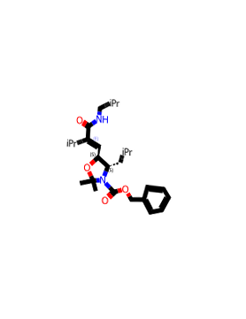 CC(C)CNC(=O)/C(=C/[C@@H]1OC(C)(C)N(C(=O)OCc2ccccc2)[C@H]1CC(C)C)C(C)C